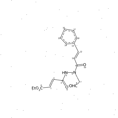 CCOC(=O)C=CC(=O)NN(C[C]=O)C(=O)C=Cc1ccccc1